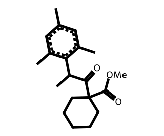 COC(=O)C1(C(=O)C(C)c2c(C)cc(C)cc2C)CCCCC1